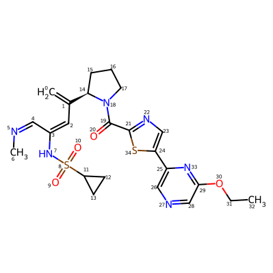 C=C(/C=C(\C=N/C)NS(=O)(=O)C1CC1)[C@H]1CCCN1C(=O)c1ncc(-c2cncc(OCC)n2)s1